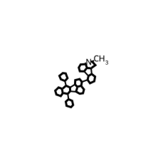 Cc1cc2c3c(cccc3n1)-c1c(-c3ccc4c5c(cccc35)-c3c-4c(-c4ccccc4)c4ccccc4c3-c3ccccc3)cccc1-2